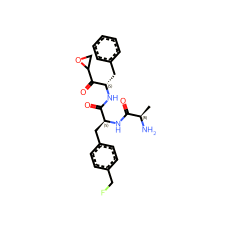 C[C@@H](N)C(=O)N[C@@H](Cc1ccc(CF)cc1)C(=O)N[C@@H](Cc1ccccc1)C(=O)C1CO1